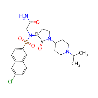 CC(C)N1CCC(N2CC[C@H](N(CC(N)=O)S(=O)(=O)c3ccc4cc(Cl)ccc4c3)C2=O)CC1